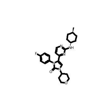 C[C@H]1CC[C@H](Nc2nccc(-c3cn(C4CCOCC4)c(=O)n3-c3ccc(F)cc3)n2)CC1